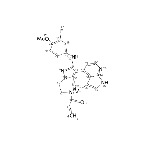 C=CC(=O)N1CCn2nc(Nc3ccc(OC)c(F)c3)c(-c3ccnc4[nH]cc(C)c34)c2C1